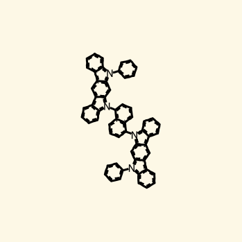 c1ccc(-n2c3ccccc3c3cc4c5ccccc5n(-c5cccc6c(-n7c8ccccc8c8cc9c%10ccccc%10n(-c%10ccccc%10)c9cc87)cccc56)c4cc32)cc1